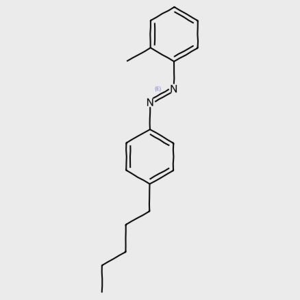 CCCCCc1ccc(/N=N/c2ccccc2C)cc1